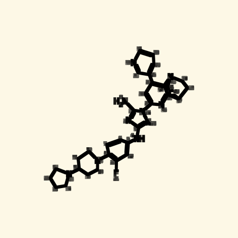 Nc1nc(Nc2ccc(N3CCC(N4CCCC4)CC3)c(F)c2)nn1-c1cc(-c2cccnc2)c2c(n1)C1CCN2CC1